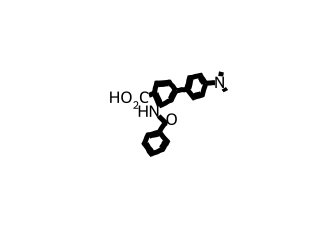 CN(C)c1ccc(-c2ccc(C(=O)O)c(NC(=O)c3ccccc3)c2)cc1